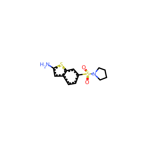 Nc1cc2ccc(S(=O)(=O)N3CCCC3)cc2s1